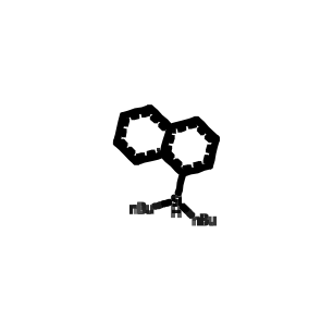 CCCC[SiH](CCCC)c1cccc2ccccc12